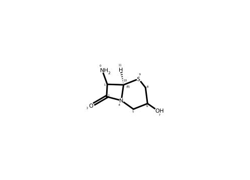 NC1C(=O)N2CC(O)CS[C@H]12